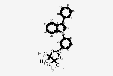 CC1(C)OB(c2cccc(-n3cc(-c4ccccc4)c4ccccc43)c2)OC1(C)C